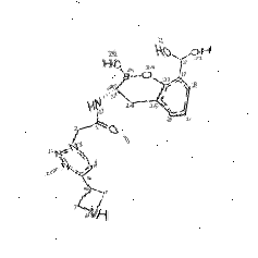 O=C(Cn1cc(C2CNC2)nn1)N[C@H]1Cc2cccc(C(O)O)c2OB1O